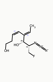 C/C=C(\C=C/CCO)[C@@H](O)[C@@H](CF)N=[N+]=[N-]